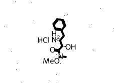 CON(C)C(=O)[C@@H](O)[C@H](N)Cc1ccccc1.Cl